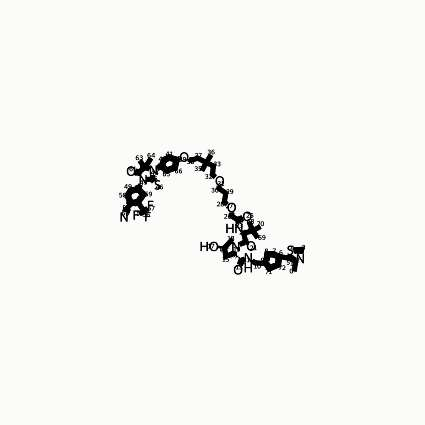 Cc1ncsc1-c1ccc(CNC(=O)[C@@H]2C[C@@H](O)CN2C(=O)C(NC(=O)COCCCOCCC(C)(C)CCOc2ccc(N3C(=S)N(c4ccc(C#N)c(C(F)(F)F)c4)C(=O)C3(C)C)cc2)C(C)(C)C)cc1